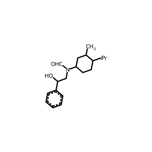 CC(C)C1CCC(N(C=O)CC(O)c2ccccc2)CC1C